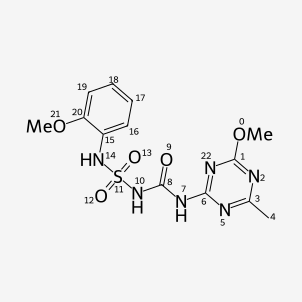 COc1nc(C)nc(NC(=O)NS(=O)(=O)Nc2ccccc2OC)n1